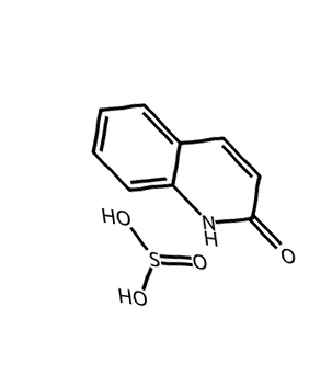 O=S(O)O.O=c1ccc2ccccc2[nH]1